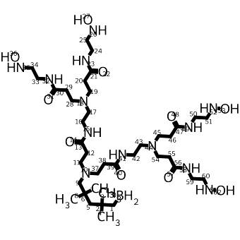 BCC(C)(C)CC(C)(C)CN(CCC(=O)NCCN(CCC(=O)NCCNO)CCC(=O)NCCNO)CCC(=O)NCCN(CCC(=O)NCCNO)CCC(=O)NCCNO